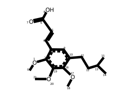 COc1c(C=CC(=O)O)cc(CCC(C)C)c(OC)c1OC